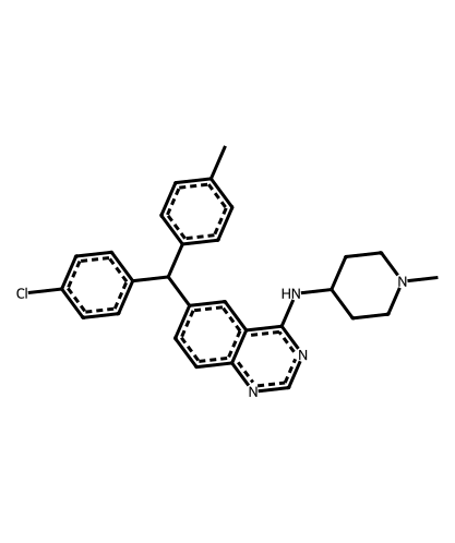 Cc1ccc(C(c2ccc(Cl)cc2)c2ccc3ncnc(NC4CCN(C)CC4)c3c2)cc1